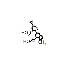 Cn1ccc2cc(-c3ncc(C4CC4)cc3C(=O)O)cc(/C=C/CO)c21